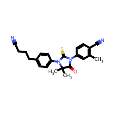 Cc1cc(N2C(=O)C(C)(C)N(c3ccc(CCCC#N)cc3)C2=S)ccc1C#N